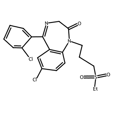 CCS(=O)(=O)CCCN1C(=O)CN=C(c2ccccc2Cl)c2cc(Cl)ccc21